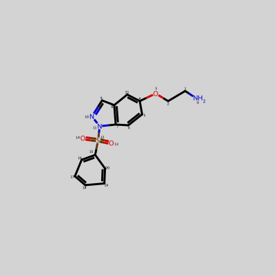 NCCOc1ccc2c(cnn2S(=O)(=O)c2ccccc2)c1